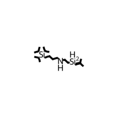 CC(C)=C[SiH2]CCNCCCC[Si](C(C)C)(C(C)C)C(C)C